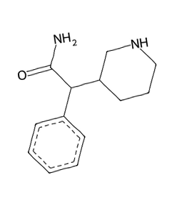 NC(=O)C(c1ccccc1)C1CCCNC1